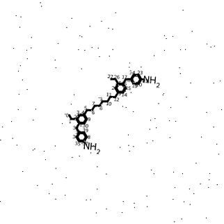 CCc1cc(CCCCCCCCc2ccc(Cc3ccc(N)cc3)c(CC)c2)ccc1Cc1ccc(N)cc1